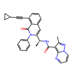 Cc1nn2cccnc2c1C(=O)N[C@@H](C)c1cc2cccc(C#CC3CC3)c2c(=O)n1-c1ccccc1